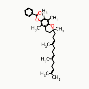 CC(C)=CCC/C(C)=C/CC/C(C)=C/CC[C@]1(C)CCc2c(C)c(OC(=O)c3ccccc3)c(C)c(C)c2O1